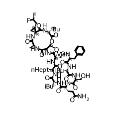 CCCCCCC[C@H](NC(=O)[C@H](NC(=O)[C@@H](CCC(N)=O)NC(=O)[C@H](CO)NC(=O)[C@@H](NC(=O)[C@@H](Cc1ccccc1)NC)[C@@H](C)CC)[C@@H](C)CC)C(=O)N[C@@H](CO)C(=O)N[C@H]1C(=O)N[C@@H](C)C(=O)N[C@@]2(C[C@H]2CC(F)F)C(=O)N[C@@H]([C@@H](C)CC)C(=O)O[C@H]1C